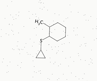 CC1CCCCC1SC1CC1